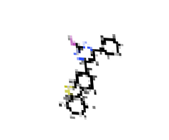 Ic1nc(-c2ccccc2)cc(-c2ccc3c(c2)sc2ccccc23)n1